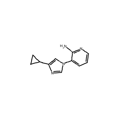 Nc1ncccc1-n1cnc(C2CC2)c1